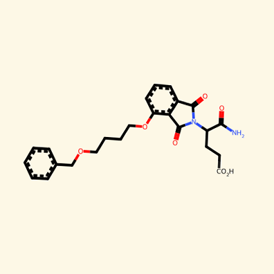 NC(=O)C(CCC(=O)O)N1C(=O)c2cccc(OCCCCOCc3ccccc3)c2C1=O